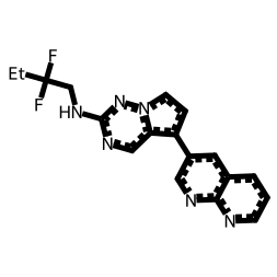 CCC(F)(F)CNc1ncc2c(-c3cnc4ncccc4c3)ccn2n1